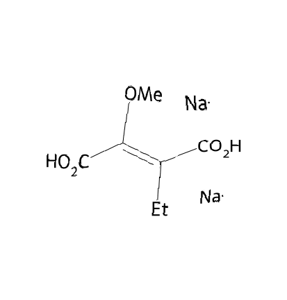 CCC(C(=O)O)=C(OC)C(=O)O.[Na].[Na]